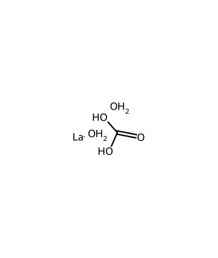 O.O.O=C(O)O.[La]